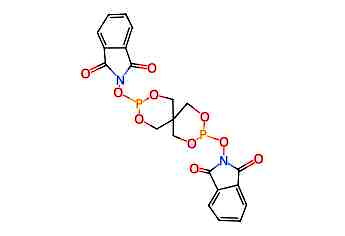 O=C1c2ccccc2C(=O)N1OP1OCC2(CO1)COP(ON1C(=O)c3ccccc3C1=O)OC2